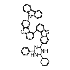 C1=CCCC(C2NC(c3ccc4sc5cccc(-c6cccc7oc8ccc(-n9c%10ccccc%10c%10ccccc%109)cc8c67)c5c4c3)=NC(c3ccccc3)N2)=C1